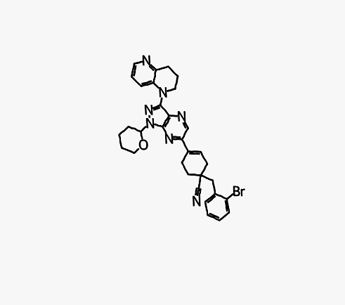 N#CC1(Cc2ccccc2Br)CC=C(c2cnc3c(N4CCCc5ncccc54)nn(C4CCCCO4)c3n2)CC1